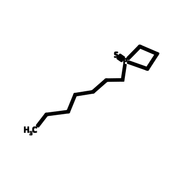 CCCCCCCP1(=S)CCC1